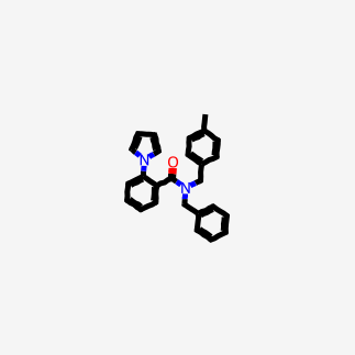 Cc1ccc(CN(Cc2ccccc2)C(=O)c2ccccc2-n2cccc2)cc1